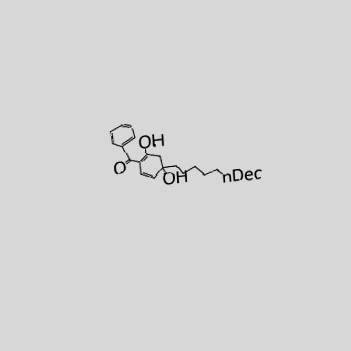 CCCCCCCCCCCCCCCC1(O)C=CC(C(=O)c2ccccc2)=C(O)C1